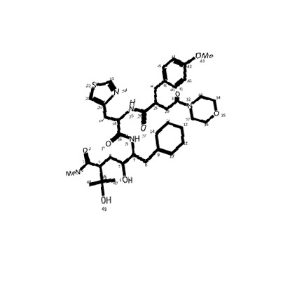 CNC(=O)C(CC(O)C(CC1CCCCC1)NC(=O)C(Cc1cscn1)NC(=O)C(CC(=O)N1CCOCC1)Cc1ccc(OC)cc1)C(C)(C)O